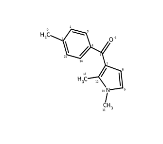 Cc1ccc(C(=O)c2ccn(C)c2C)cc1